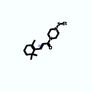 CCSN1CCN(C(=O)/C=C/C2=C(C)CCCC2(C)C)CC1